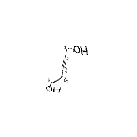 OCC#CCCO